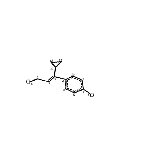 ClCC=C(c1ccc(Cl)cc1)C1CC1